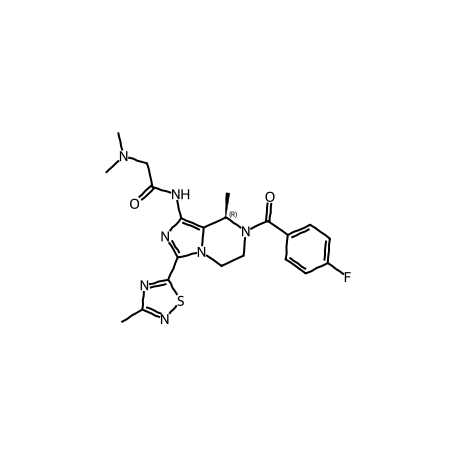 Cc1nsc(-c2nc(NC(=O)CN(C)C)c3n2CCN(C(=O)c2ccc(F)cc2)[C@@H]3C)n1